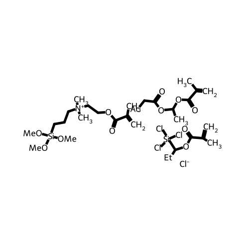 C=C(C)C(=O)OC(C)OC(=O)CC(C)=O.C=C(C)C(=O)OC(CC)[Si](Cl)(Cl)Cl.C=C(C)C(=O)OCC[N+](C)(C)CCC[Si](OC)(OC)OC.[Cl-]